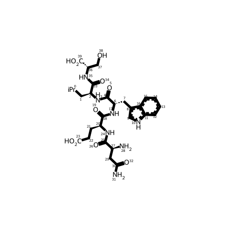 CC(C)C[C@H](NC(=O)[C@H](Cc1c[nH]c2ccccc12)NC(=O)[C@H](CCC(=O)O)NC(=O)[C@@H](N)CC(N)=O)C(=O)N[C@@H](CO)C(=O)O